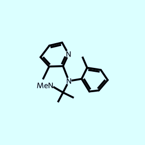 CNC(C)(C)N(c1ccccc1C)c1ncccc1C